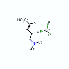 CCN(CC)CCC=C(C)C(=O)O.FB(F)F